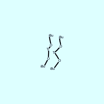 CCC(C)[O][Ti][O]C(C)CC.CCC(C)[O][Ti][O]C(C)CC